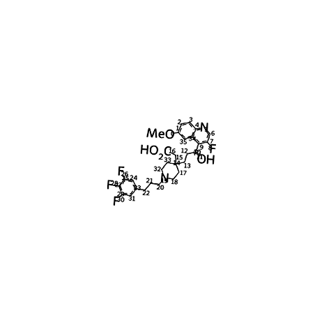 COc1ccc2ncc(F)c([C@H](O)CCC3(CC(=O)O)CCN(CCCc4cc(F)c(F)c(F)c4)CC3)c2c1